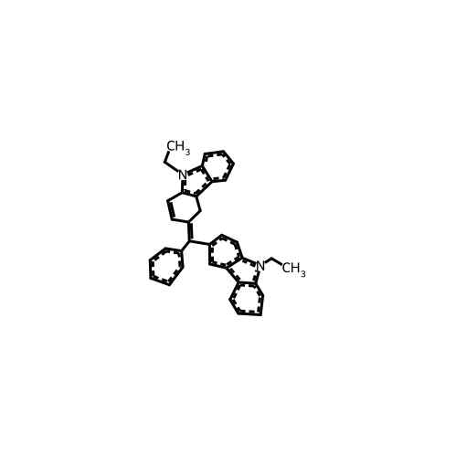 CCn1c2c(c3ccccc31)CC(=C(c1ccccc1)c1ccc3c(c1)c1ccccc1n3CC)C=C2